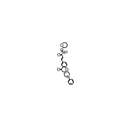 O=C(C=Cc1ccc2c(c1)C(=O)CC1(CCN(c3ccccc3)CC1)O2)NOC1CCCCO1